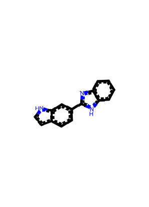 c1ccc2[nH]c(-c3ccc4cc[nH]c4c3)nc2c1